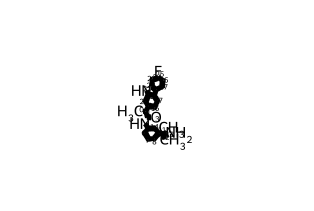 CC(C(=O)Nc1cccc(C(C)(C)N)c1)c1ccc2c(c1)[nH]c1cc(F)ccc12